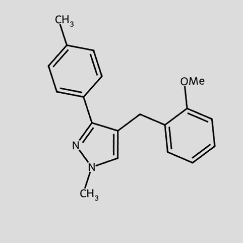 COc1ccccc1Cc1cn(C)nc1-c1ccc(C)cc1